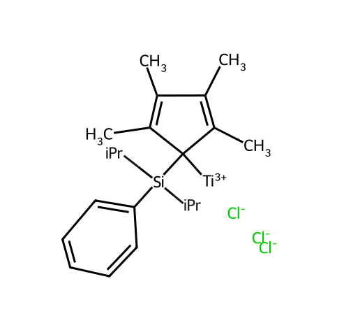 CC1=C(C)[C]([Ti+3])([Si](c2ccccc2)(C(C)C)C(C)C)C(C)=C1C.[Cl-].[Cl-].[Cl-]